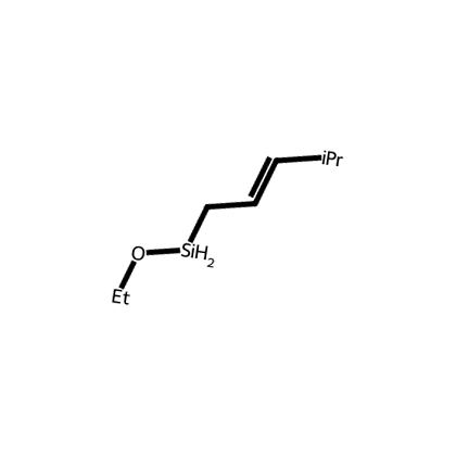 CCO[SiH2]CC=CC(C)C